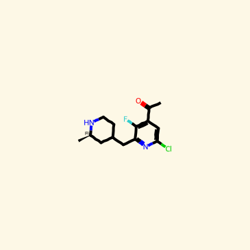 CC(=O)c1cc(Cl)nc(CC2CCN[C@H](C)C2)c1F